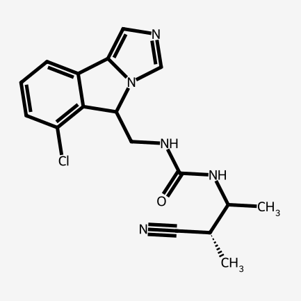 CC(NC(=O)NCC1c2c(Cl)cccc2-c2cncn21)[C@H](C)C#N